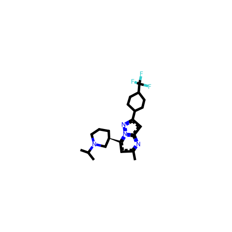 Cc1cc([C@@H]2CCCN(C(C)C)C2)n2nc(C3CCC(C(F)(F)F)CC3)cc2n1